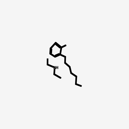 CCCCCCCc1ccccc1C.CCNCC